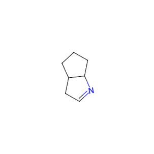 C1=NC2CCCC2C1